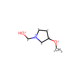 COC1CCN(CO)C1